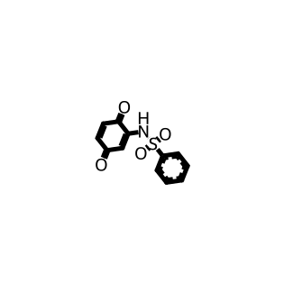 O=C1C=CC(=O)C(NS(=O)(=O)c2ccccc2)=C1